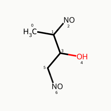 CC(N=O)C(O)CN=O